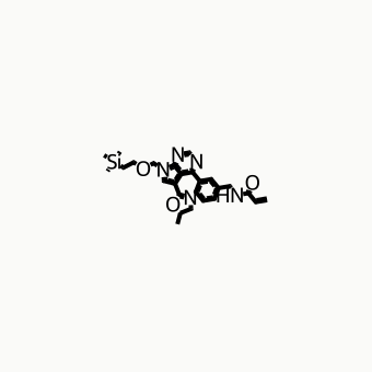 C=CC(=O)NCc1cccc(-c2ncnc3c2c(C2=NCC(C)O2)cn3COCC[Si](C)(C)C)c1